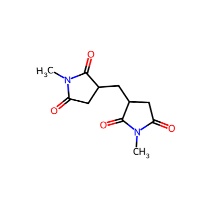 CN1C(=O)CC(CC2CC(=O)N(C)C2=O)C1=O